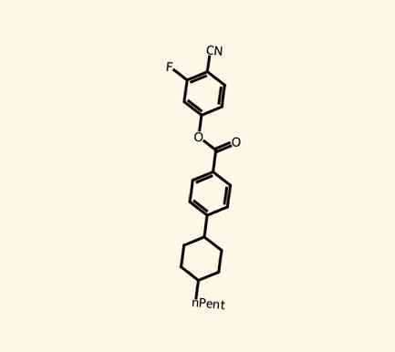 CCCCCC1CCC(c2ccc(C(=O)Oc3ccc(C#N)c(F)c3)cc2)CC1